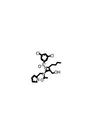 CCCCC1C(CO)=C(N(Cc2ccccn2)C(C)=O)N1[S+]([O-])c1cc(Cl)cc(Cl)c1